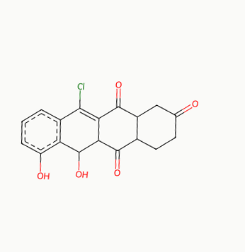 O=C1CCC2C(=O)C3C(=C(Cl)c4cccc(O)c4C3O)C(=O)C2C1